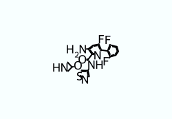 Nc1cc(F)c(-c2c(F)cccc2F)nc1C(=O)Nc1cnsc1OC1CNC1